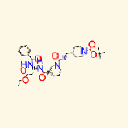 CCOC(=O)C[C@H](NC(=O)c1ccccc1)NC(=O)[C@@H]1CCCN(C(=O)/C=C/C2CCN(C(=O)OC(C)(C)C)CC2)C1